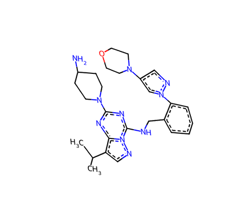 CC(C)c1cnn2c(NCc3ccccc3-n3cc(N4CCOCC4)cn3)nc(N3CCC(N)CC3)nc12